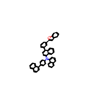 c1cc(-c2cc3ccccc3o2)cc(-c2ccc(N(c3ccc(-c4cccc5ccccc45)cc3)c3cccc4ccccc34)c3ccccc23)c1